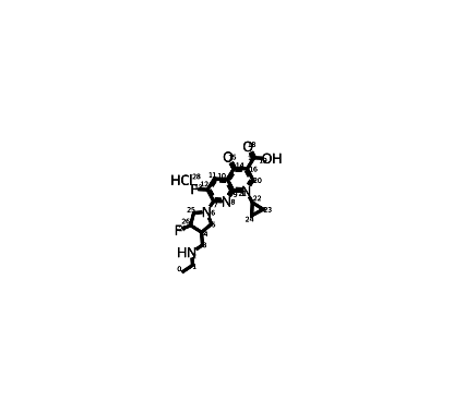 CCNCC1CN(c2nc3c(cc2F)c(=O)c(C(=O)O)cn3C2CC2)CC1F.Cl